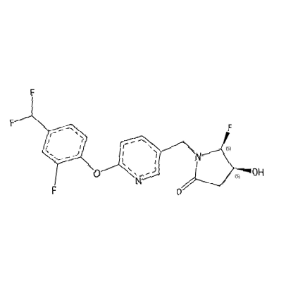 O=C1C[C@H](O)[C@H](F)N1Cc1ccc(Oc2ccc(C(F)F)cc2F)nc1